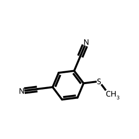 CSc1ccc(C#N)cc1C#N